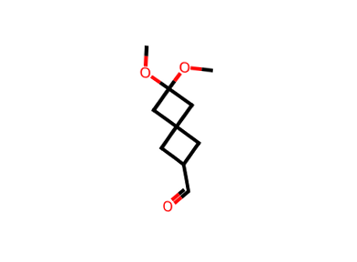 COC1(OC)CC2(CC(C=O)C2)C1